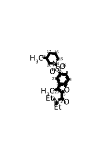 CCN(CC)C(=O)c1oc2ccc(S(=O)(=O)N3CCCC(C)C3)cc2c1C